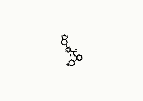 O=C(Nc1ccccc1N1CCNCC1)c1csc(N2CCC3=NC=NC3C2)n1